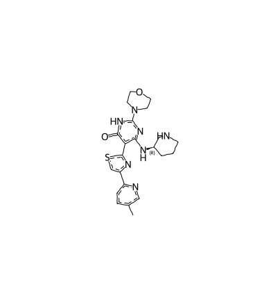 Cc1ccc(-c2csc(-c3c(N[C@@H]4CCCNC4)nc(N4CCOCC4)[nH]c3=O)n2)nc1